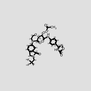 CC(=O)OO[C@@H](C(=O)Nc1ccc(-c2noc(=O)[nH]2)cc1)[C@H]1OCCN(c2ccc3c(c2)C(=O)N(CC(F)(F)F)C3)C1=O